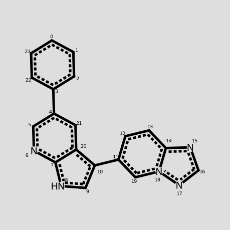 c1ccc(-c2cnc3[nH]cc(-c4ccc5ncnn5c4)c3c2)cc1